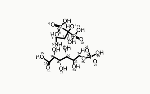 NCCC(O)(P(=O)(O)O)P(=O)(O)O.O=C(O)[C@H](O)[C@@H](O)[C@H](O)[C@H](O)COP(=O)(O)O